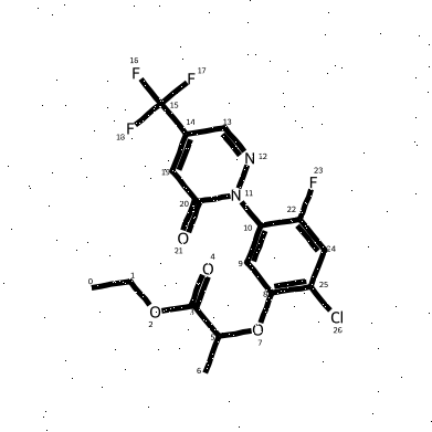 CCOC(=O)C(C)Oc1cc(-n2ncc(C(F)(F)F)cc2=O)c(F)cc1Cl